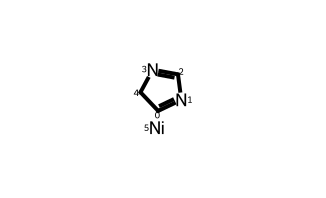 C1=NC=NC1.[Ni]